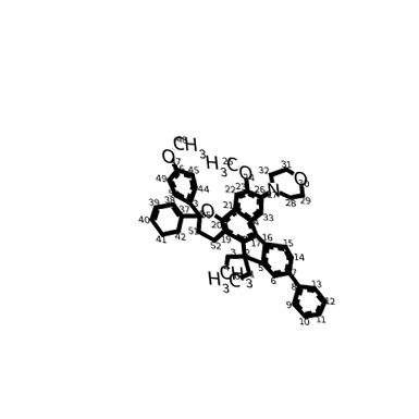 CCC1(CC)c2cc(-c3ccccc3)ccc2-c2c1c1c(c3cc(OC)c(N4CCOCC4)cc23)OC(C2=CC=CCC2)(c2ccc(OC)cc2)CC1